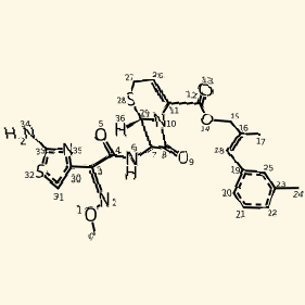 CON=C(C(=O)NC1C(=O)N2C(C(=O)OCC(C)=Cc3cccc(C)c3)=CCS[C@@H]12)c1csc(N)n1